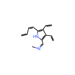 C=C/C=C\c1[nH]c(/C=N\C)c(C=C)c1C=C